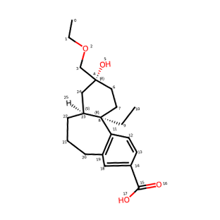 CCOC[C@@]1(O)CC[C@@]2(CC)c3ccc(C(=O)O)cc3CCC[C@H]2C1